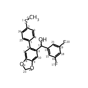 CSc1ccc(-c2cc3c(cc2C(O)c2cc(F)cc(F)c2)OCO3)cc1